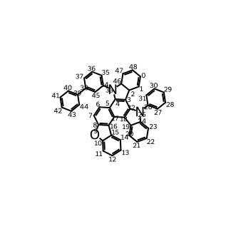 C1=CC2c3c(c4ccc5oc6ccccc6c5c4c4c5ccccc5n(-c5ccccc5)c34)N(c3cccc(-c4ccccc4)c3)C2C=C1